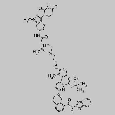 Cc1c(OCCC[C@H]2CCN(CC(=O)Nc3ccc4c(C5CCC(=O)NC5=O)nn(C)c4c3)[C@@H](C)C2)cccc1-c1ccc(N2CCc3cccc(C(=O)Nc4nc5ccccc5s4)c3C2)nc1C(=O)OC(C)(C)C